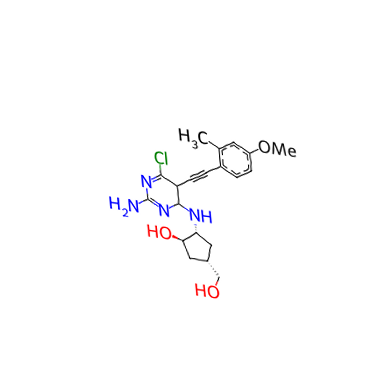 COc1ccc(C#CC2C(Cl)=NC(N)=NC2N[C@@H]2C[C@H](CO)C[C@H]2O)c(C)c1